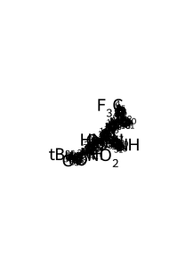 Cc1cc(C(F)(F)F)ccc1C1=C(CN2CCN(c3ccc(C(=O)NS(=O)(=O)c4ccc(NCC5CN(C(=O)C(C)(C)C)CCO5)c([N+](=O)[O-])c4)c(Oc4cnc5[nH]ccc5c4)c3)CC2)CCC(C)(C)C1